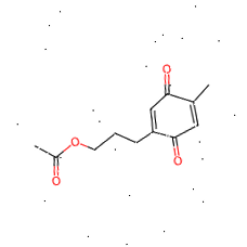 CC(=O)OCCCC1=CC(=O)C(C)=CC1=O